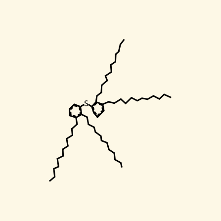 CCCCCCCCCCCCc1cccc(Sc2cccc(CCCCCCCCCCCC)c2CCCCCCCCCCCC)c1CCCCCCCCCCCC